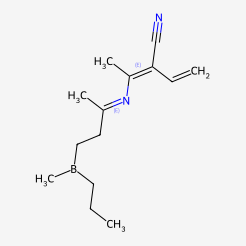 C=C/C(C#N)=C(C)\N=C(/C)CCB(C)CCC